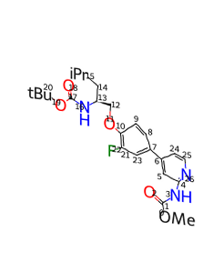 COC(=O)Nc1cc(-c2ccc(OC[C@H](CC(C)C)NC(=O)OC(C)(C)C)c(F)c2)ccn1